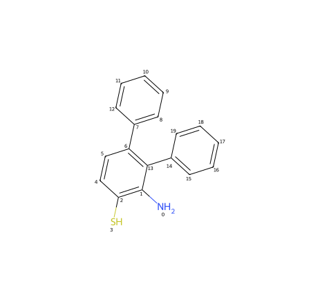 Nc1c(S)ccc(-c2ccccc2)c1-c1ccccc1